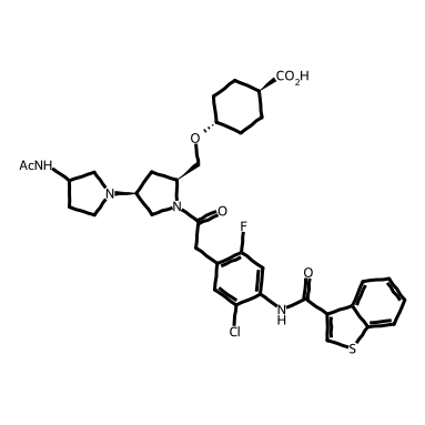 CC(=O)NC1CCN([C@H]2C[C@@H](CO[C@H]3CC[C@H](C(=O)O)CC3)N(C(=O)Cc3cc(Cl)c(NC(=O)c4csc5ccccc45)cc3F)C2)C1